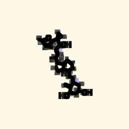 C=C1/C(=C\C=C2/CCC[C@]3(C)[C@@H]([C@@H](C)/C=C/[C@@H](O)C4(c5ncc(C)o5)CC4)CC[C@@H]23)C[C@@H](O)C[C@@H]1O